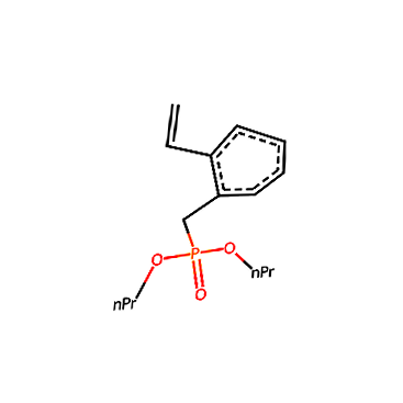 C=Cc1ccccc1CP(=O)(OCCC)OCCC